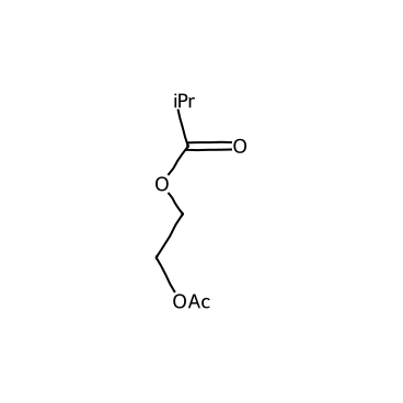 CC(=O)OCCOC(=O)C(C)C